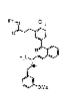 COc1cccc(CNC(C)c2cc3ccccc3c(-c3ccc(C)c(CCC(=O)OC(C)C)c3)n2)c1